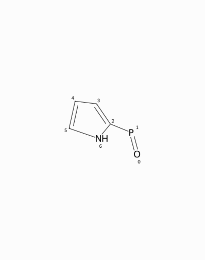 O=Pc1ccc[nH]1